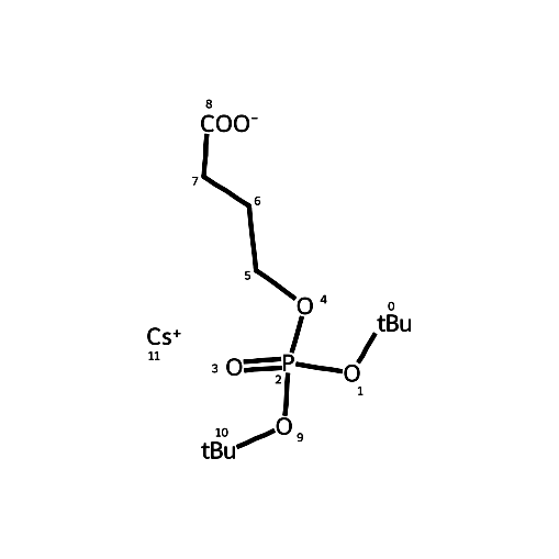 CC(C)(C)OP(=O)(OCCCC(=O)[O-])OC(C)(C)C.[Cs+]